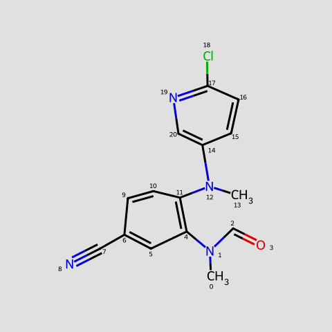 CN(C=O)c1cc(C#N)ccc1N(C)c1ccc(Cl)nc1